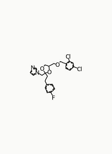 Fc1ccc(CCC2(Cn3ccnc3)OCC(COCc3ccc(Cl)cc3Cl)O2)cc1